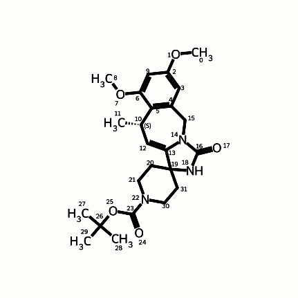 COc1cc2c(c(OC)c1)[C@@H](C)C=C1N(C2)C(=O)NC12CCN(C(=O)OC(C)(C)C)CC2